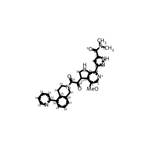 COc1cnc(-c2cc(C(=O)N(C)C)[nH]n2)c2c1C(C(=O)C(=O)N1CCc3c(cccc3-c3ccccn3)C1)CN2